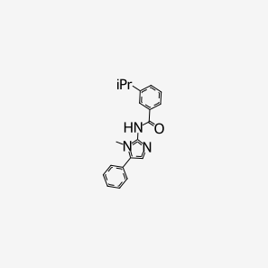 CC(C)c1cccc(C(=O)Nc2ncc(-c3ccccc3)n2C)c1